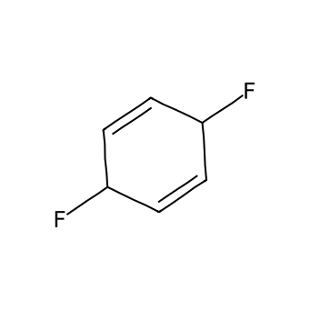 FC1C=CC(F)C=C1